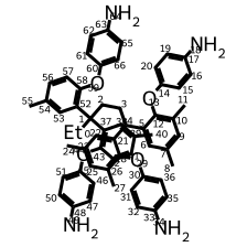 CCC(CCC(c1cc(C)cc(C)c1Oc1ccc(N)cc1)c1cc(C)cc(C)c1Oc1ccc(N)cc1)(c1cc(C)ccc1Oc1ccc(N)cc1)c1cc(C)ccc1Oc1ccc(N)cc1